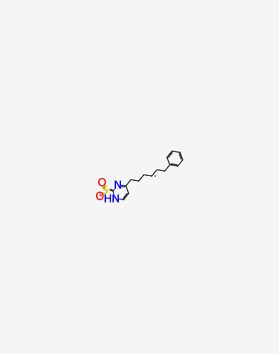 O=S(=O)=c1nc(CCC[CH]CCc2ccccc2)cc[nH]1